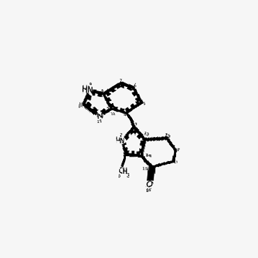 Cc1[nH]c(-c2cccc3[nH]cnc23)c2c1C(=O)CCC2